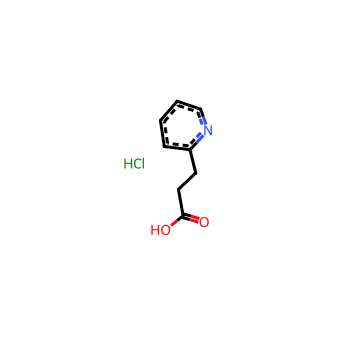 Cl.O=C(O)CCc1ccccn1